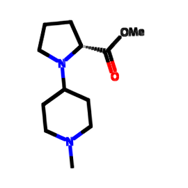 COC(=O)[C@H]1CCCN1C1CCN(C)CC1